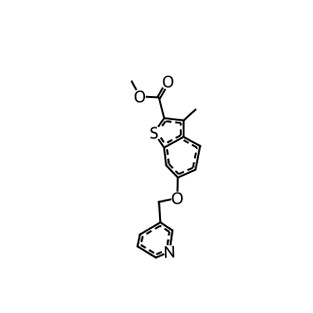 COC(=O)c1sc2cc(OCc3cccnc3)ccc2c1C